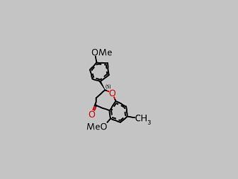 COc1ccc([C@@H]2CC(=O)c3c(OC)cc(C)cc3O2)cc1